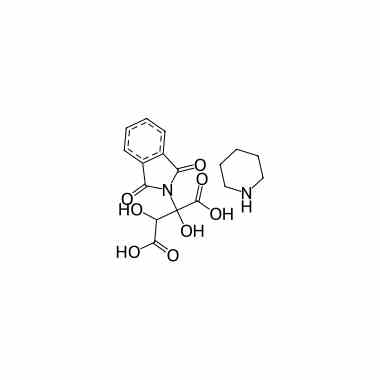 C1CCNCC1.O=C(O)C(O)C(O)(C(=O)O)N1C(=O)c2ccccc2C1=O